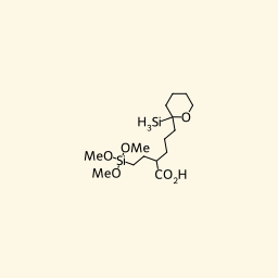 CO[Si](CCC(CCCC1([SiH3])CCCCO1)C(=O)O)(OC)OC